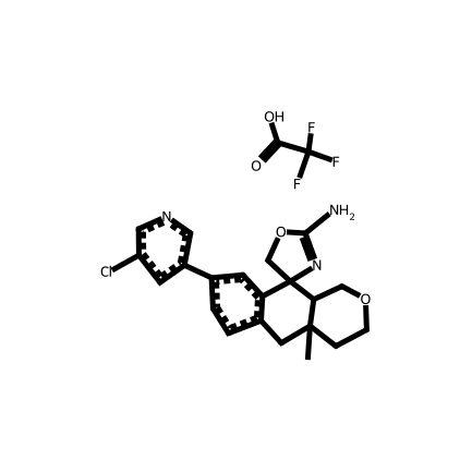 CC12CCOCC1C1(COC(N)=N1)c1cc(-c3cncc(Cl)c3)ccc1C2.O=C(O)C(F)(F)F